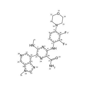 CNc1nc(Nc2ccc(N3CCOCC3)c(F)c2F)c(C(N)=O)nc1-c1cncc2c1ncn2C